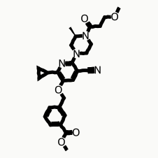 COCCC(=O)N1CCN(c2nc(C3CC3)c(OCc3cccc(C(=O)OC)c3)cc2C#N)C[C@H]1C